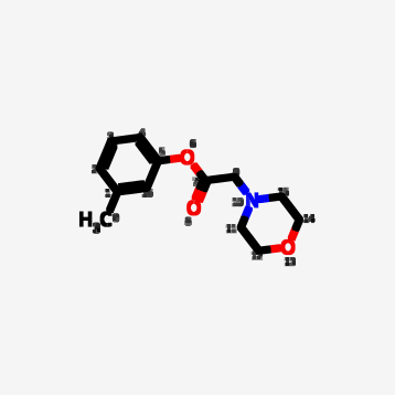 Cc1cccc(OC(=O)CN2CCOCC2)c1